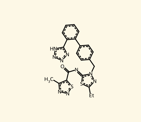 CCc1nn(Cc2ccc(-c3ccccc3-c3nnn[nH]3)cc2)c(=NC(=O)c2snnc2C)s1